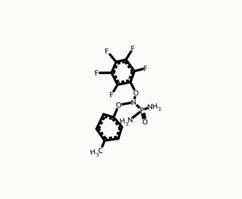 Cc1ccc(ON(Oc2c(F)c(F)c(F)c(F)c2F)P(N)(N)=O)cc1